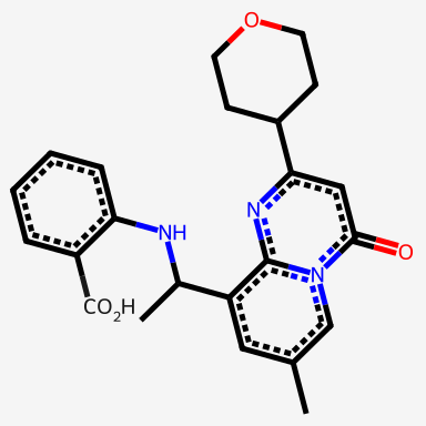 Cc1cc(C(C)Nc2ccccc2C(=O)O)c2nc(C3CCOCC3)cc(=O)n2c1